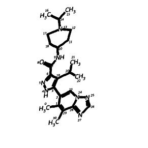 Cc1c(-c2[nH]nc(C(=O)NC3CCN(C(C)C)CC3)c2C(C)C)cn2ncnc2c1C